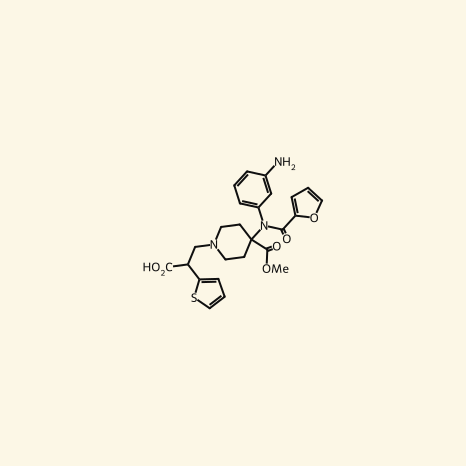 COC(=O)C1(N(C(=O)c2ccco2)c2cccc(N)c2)CCN(CC(C(=O)O)c2cccs2)CC1